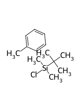 CC(C)(C)[Si](C)(C)Cl.Cc1ccccc1